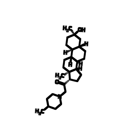 CC1CCN(CC(=O)[C@H]2CC[C@H]3[C@@H]4CC[C@H]5C[C@](C)(O)CC[C@@H]5[C@H]4CC[C@]23C)CC1